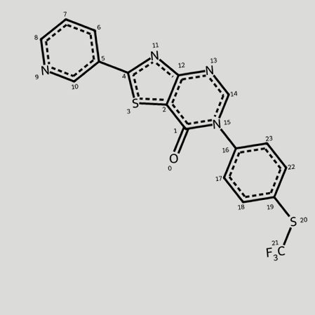 O=c1c2sc(-c3cccnc3)nc2ncn1-c1ccc(SC(F)(F)F)cc1